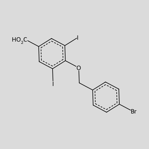 O=C(O)c1cc(I)c(OCc2ccc(Br)cc2)c(I)c1